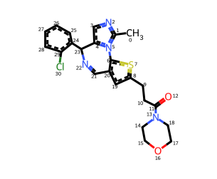 Cc1ncc2n1-c1sc(CCC(=O)N3CCOCC3)cc1C=NC2c1ccccc1Cl